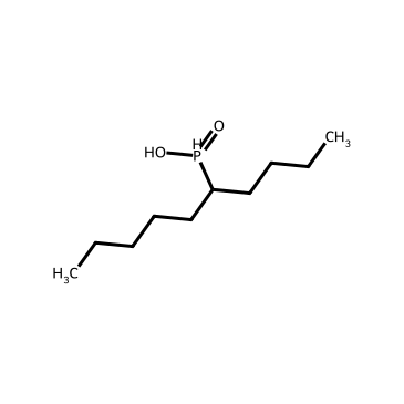 CCCCCC(CCCC)[PH](=O)O